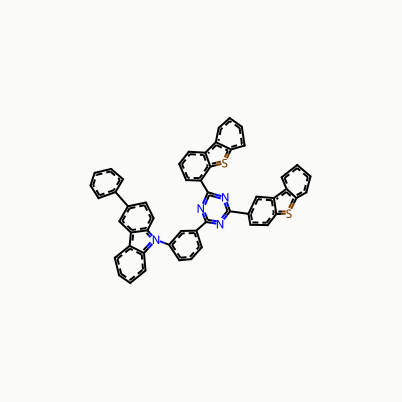 c1ccc(-c2ccc3c(c2)c2ccccc2n3-c2cccc(-c3nc(-c4ccc5sc6ccccc6c5c4)nc(-c4cccc5c4sc4ccccc45)n3)c2)cc1